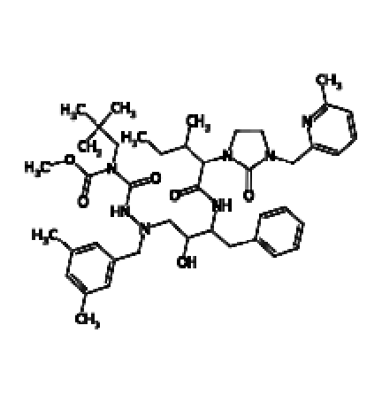 CCC(C)C(C(=O)NC(Cc1ccccc1)C(O)CN(Cc1cc(C)cc(C)c1)NC(=O)N(CC(C)(C)C)C(=O)OC)N1CCN(Cc2cccc(C)n2)C1=O